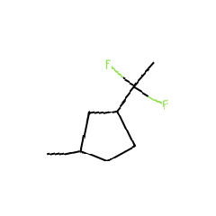 CC1CCC(C(C)(F)F)C1